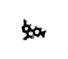 O=C(Cl)c1ccc(Br)nc1N1CCC2(CC1)CC2